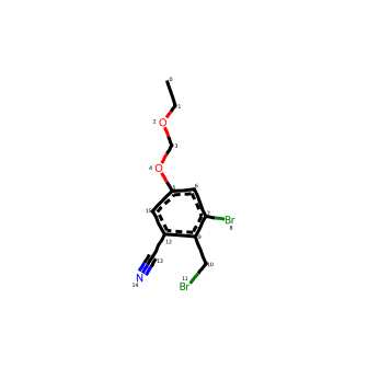 CCOCOc1cc(Br)c(CBr)c(C#N)c1